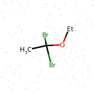 CCOC(C)(Br)Br